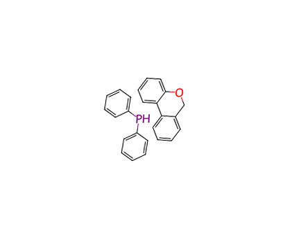 c1ccc(Pc2ccccc2)cc1.c1ccc2c(c1)COc1ccccc1-2